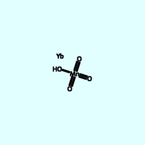 [O]=[Mn](=[O])(=[O])[OH].[Yb]